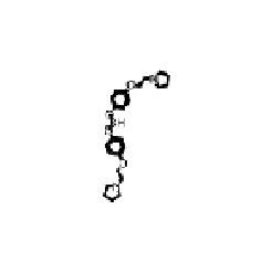 B(Oc1ccc(OCCN2CCCC2)cc1)Oc1ccc(OCCN2CCCC2)cc1